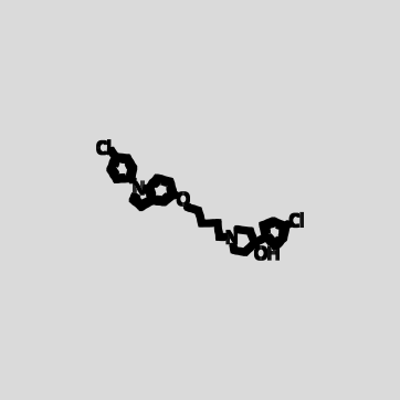 OC1(c2ccc(Cl)cc2)CCN(CCCCCOc2ccc3c(ccn3-c3ccc(Cl)cc3)c2)CC1